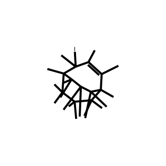 C/C1=C(\C)C2(C)C(C)(C)C(C)(C)C(C)(C)C(C)(C1(C)I)C(C)(C)C(C)(C)C2(C)C